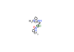 CN(C)c1ccccc1CNC1CC1c1ccc(NC(=O)c2cccc(C(F)(F)F)c2)cc1.Cl